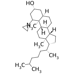 CC(C)CCC[C@@H](C)[C@H]1CC[C@H]2[C@@H]3CC[C@@H]4C[C@@H](O)CC(N5CC5)[C@]4(C)[C@H]3CC[C@]12C